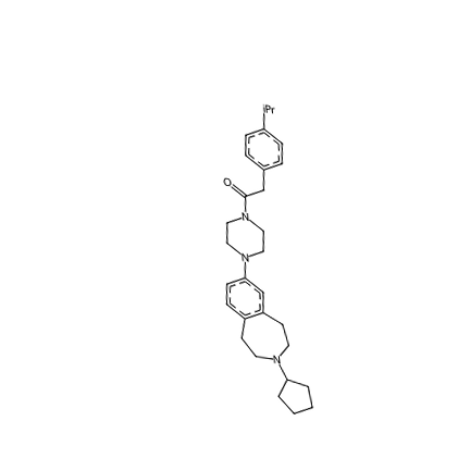 CC(C)c1ccc(CC(=O)N2CCN(c3ccc4c(c3)CCN(C3CCCC3)CC4)CC2)cc1